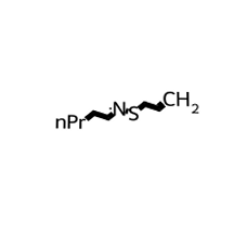 C=CCS[N]CCCCC